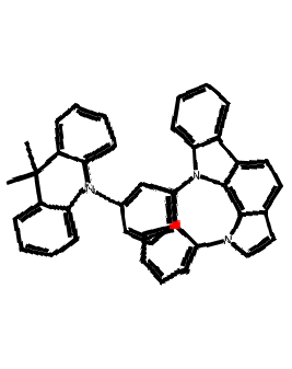 CC1(C)c2ccccc2N(c2cccc(-n3c4ccccc4c4ccc5ccn(-c6ccccc6)c5c43)c2)c2ccccc21